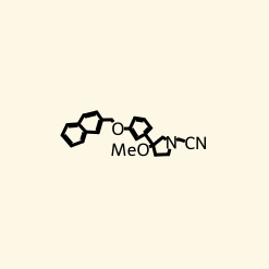 COC1(c2cccc(OCc3ccc4ccccc4c3)c2)CCN(CC#N)C1